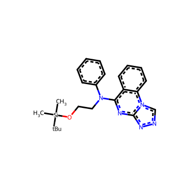 CC(C)(C)[Si](C)(C)OCCN(c1ccccc1)c1nc2nncn2c2ccccc12